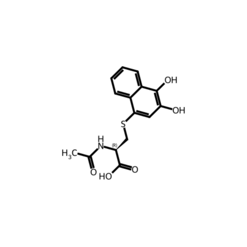 CC(=O)N[C@@H](CSc1cc(O)c(O)c2ccccc12)C(=O)O